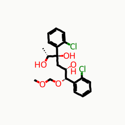 COCO[C@@H](c1ccccc1Cl)[C@@H](O)C[C@@](O)(c1ccccc1Cl)[C@@H](C)O